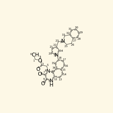 CCOC(=O)Cn1c(=O)c(=O)[nH]c2ccc3ccc(-n4ccc(CN5CCc6ccccc6C5)c4)cc3c21